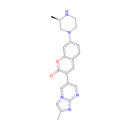 Cc1cn2cc(-c3cc4ccc(N5CCN[C@H](C)C5)cc4oc3=O)cnc2n1